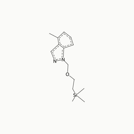 Cc1cccc2c1cnn2COCC[Si](C)(C)C